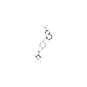 Cc1nn(C)cc1C(=O)NC1CCC(Pc2cccc3nc(C(C)F)cn23)CC1